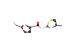 Cc1csc(NC(=O)c2ccc(CCl)o2)n1